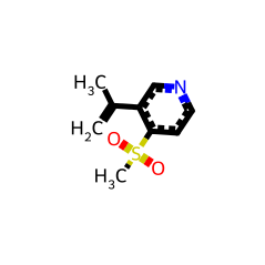 C=C(C)c1cnccc1S(C)(=O)=O